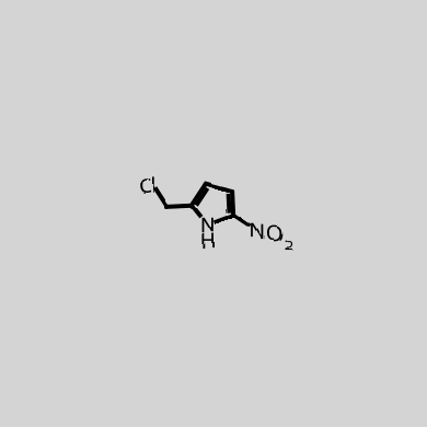 O=[N+]([O-])c1ccc(CCl)[nH]1